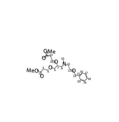 COC(=O)CCOCC(CN(C)CCOCc1ccccc1)OCCC(=O)OC